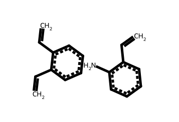 C=Cc1ccccc1C=C.C=Cc1ccccc1N